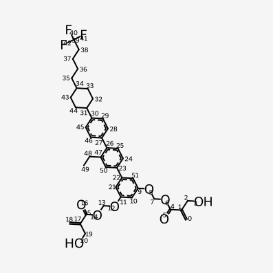 C=C(CO)C(=O)OCOc1cc(OCOC(=O)C(=C)CO)cc(-c2ccc(-c3ccc(C4CCC(CCCCC(F)(F)F)CC4)cc3)c(CC)c2)c1